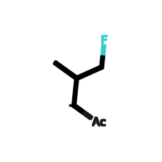 CC(=O)[CH]C(C)CF